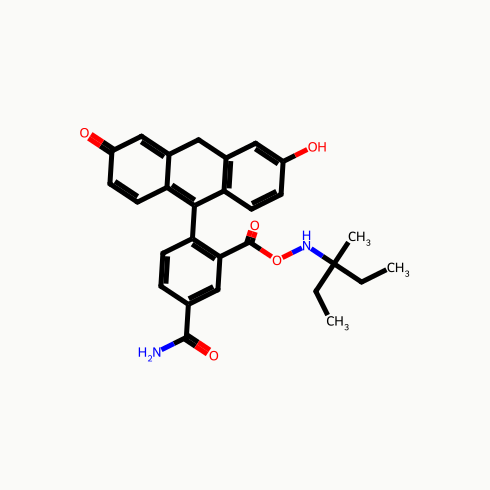 CCC(C)(CC)NOC(=O)c1cc(C(N)=O)ccc1C1=C2C=CC(=O)C=C2Cc2cc(O)ccc21